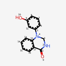 O=C1NCN(c2cccc(O)c2)c2ccccc21